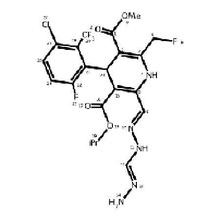 COC(=O)C1=C(CF)NC(C=NNC=NN)=C(C(=O)OC(C)C)C1c1c(F)ccc(Cl)c1C(F)(F)F